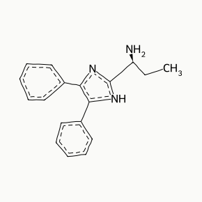 CC[C@H](N)c1nc(-c2ccccc2)c(-c2ccccc2)[nH]1